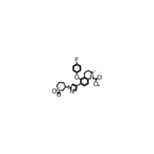 COC(=O)N1c2ccc(-c3cnn(C4CCCS(=O)(=O)C4)c3)c(Oc3ccc(F)cc3)c2CC[C@@H]1C